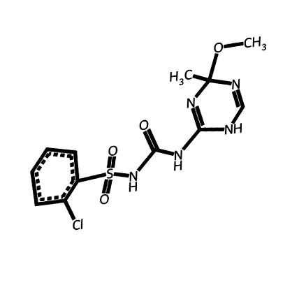 COC1(C)N=CNC(NC(=O)NS(=O)(=O)c2ccccc2Cl)=N1